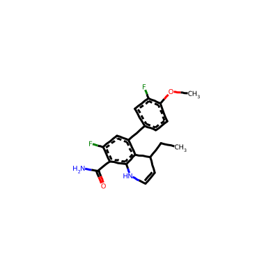 CCC1C=CNc2c(C(N)=O)c(F)cc(-c3ccc(OC)c(F)c3)c21